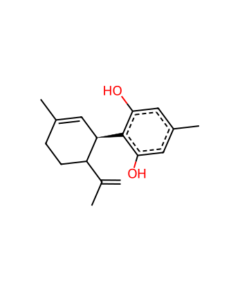 C=C(C)C1CCC(C)=C[C@H]1c1c(O)cc(C)cc1O